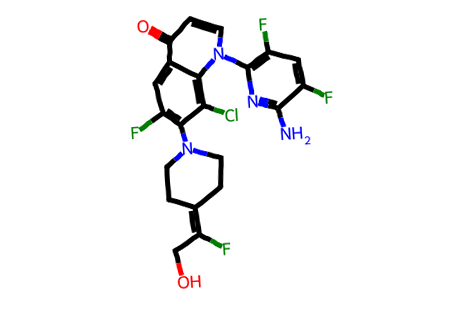 Nc1nc(-n2ccc(=O)c3cc(F)c(N4CCC(=C(F)CO)CC4)c(Cl)c32)c(F)cc1F